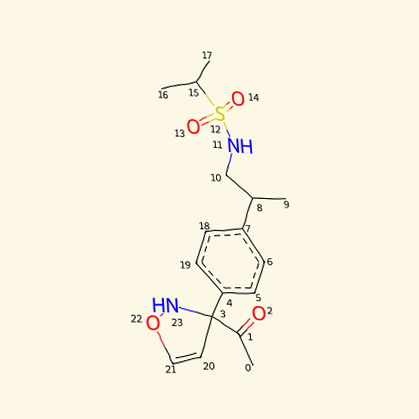 CC(=O)C1(c2ccc(C(C)CNS(=O)(=O)C(C)C)cc2)C=CON1